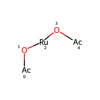 CC(=O)[O][Ru][O]C(C)=O